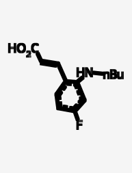 CCCCNc1cc(F)ccc1C=CC(=O)O